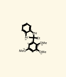 CCC(C)(Pc1ccccc1C(C)=O)c1cc(OC)cc(OC)c1OC